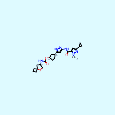 Cn1nc(C2CC2)cc1C(=O)Nc1cc([C@H]2CC[C@@H](OC(=O)N[C@H]3COC4(CCC4)C3)C2)[nH]n1